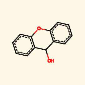 OC1c2ccccc2Oc2ccccc21